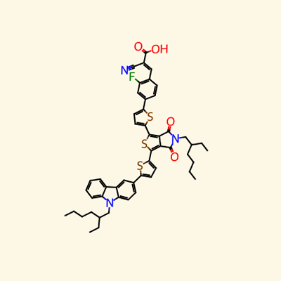 CCCCC(CC)CN1C(=O)c2c(-c3ccc(-c4ccc(/C=C(\C#N)C(=O)O)c(F)c4)s3)sc(-c3ccc(-c4ccc5c(c4)c4ccccc4n5CC(CC)CCCC)s3)c2C1=O